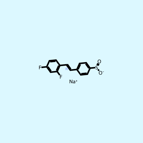 O=S([O-])c1ccc(/C=C/c2ccc(F)cc2F)cc1.[Na+]